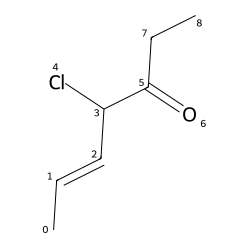 CC=CC(Cl)C(=O)CC